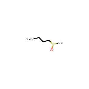 CCCCCCCC[S+]([O-])CCCC